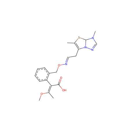 COC(C)=C(C(=O)O)c1ccccc1CON=CCC1=C(C)SC2N(C)C=NN12